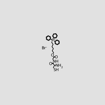 NC(CS)C(=O)NCC(=O)OCCCCCC[P+](c1ccccc1)(c1ccccc1)c1ccccc1.[Br-]